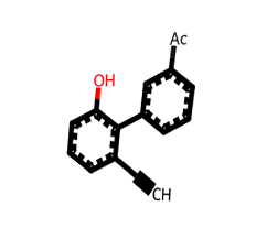 C#Cc1cccc(O)c1-c1cccc(C(C)=O)c1